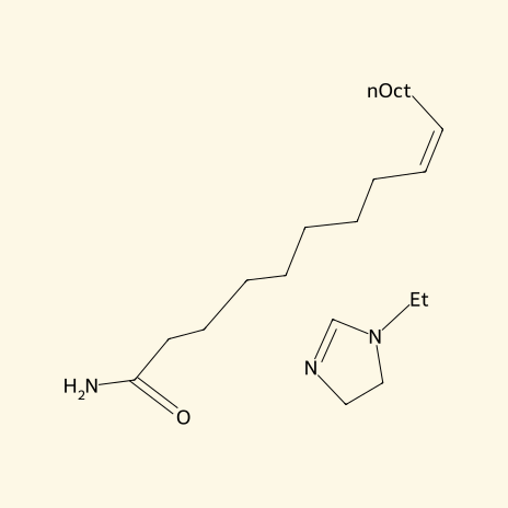 CCCCCCCC/C=C\CCCCCCCC(N)=O.CCN1C=NCC1